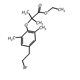 CCOC(=O)C(C)(C)Oc1c(C)cc(CCBr)cc1C